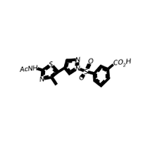 CC(=O)Nc1nc(C)c(-c2cnn(S(=O)(=O)c3cccc(C(=O)O)c3)c2)s1